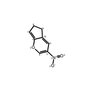 O=[N+]([O-])C1=COC2=CCCC2=C1